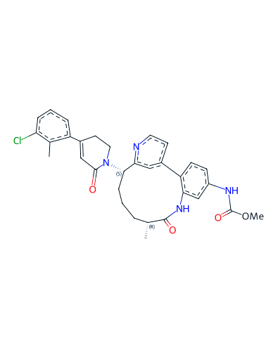 COC(=O)Nc1ccc2c(c1)NC(=O)[C@H](C)CCC[C@H](N1CCC(c3cccc(Cl)c3C)=CC1=O)c1cc-2ccn1